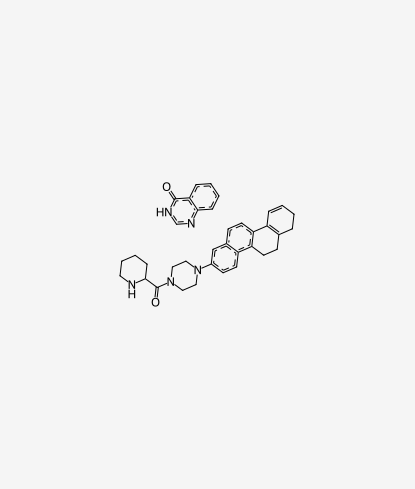 O=C(C1CCCCN1)N1CCN(c2ccc3c4c(ccc3c2)C2=C(CCC=C2)CC4)CC1.O=c1[nH]cnc2ccccc12